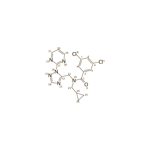 O=C(c1cc(Cl)cc(Cl)c1)N(Cc1ncnn1-c1ncccn1)CC1CC1